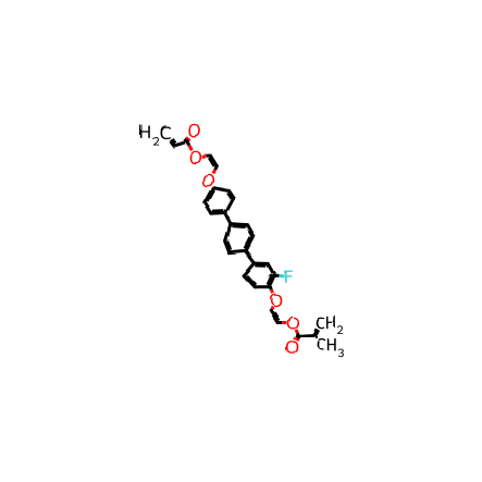 C=CC(=O)O/C=C\Oc1ccc(-c2ccc(-c3ccc(O/C=C\OC(=O)C(=C)C)c(F)c3)cc2)cc1